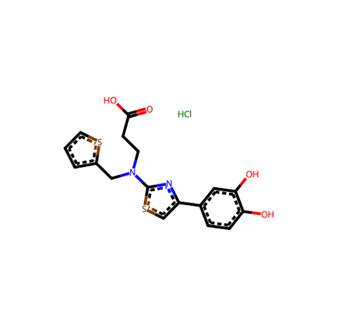 Cl.O=C(O)CCN(Cc1cccs1)c1nc(-c2ccc(O)c(O)c2)cs1